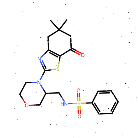 CC1(C)CC(=O)c2sc(N3CCOCC3CNS(=O)(=O)c3ccccc3)nc2C1